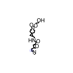 C=N/C=C\c1coc(C(=O)NCC2CC23CCN(C(=O)OCCO)CC3)c1